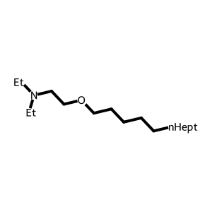 CCCCCCCCCCCCOCCN(CC)CC